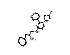 N[C@@H](CNc1ncc(-c2ccc(Cl)cc2)c(-c2ccncc2)n1)Cc1ccccc1